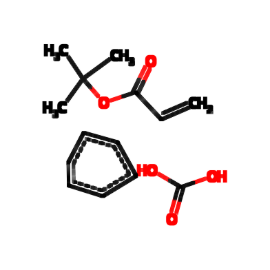 C=CC(=O)OC(C)(C)C.O=C(O)O.c1ccccc1